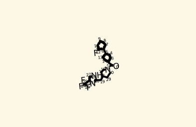 O=C(c1ccc(-c2ccccc2F)cc1)N1CCC(Cc2nc(C(F)(F)F)c[nH]2)CC1